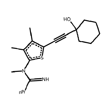 CCCC(=N)N(C)c1sc(C#CC2(O)CCCCC2)c(C)c1C